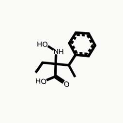 CCC(NO)(C(=O)O)C(C)c1ccccc1